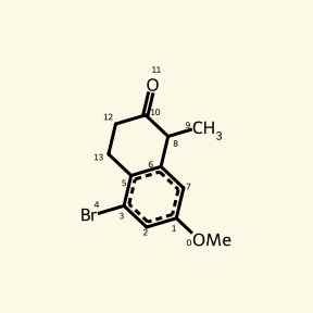 COc1cc(Br)c2c(c1)C(C)C(=O)CC2